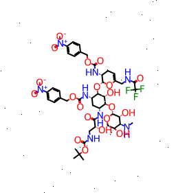 CN[C@@H]1[C@@H](O)[C@@H](O[C@@H]2[C@@H](O)[C@H](O[C@H]3OC(CNC(=O)C(F)(F)F)=CC[C@H]3NC(=O)OCc3ccc([N+](=O)[O-])cc3)[C@@H](NC(=O)OCc3ccc([N+](=O)[O-])cc3)C[C@H]2NC(=O)[C@H](O)CNC(=O)OC(C)(C)C)OC[C@]1(C)O